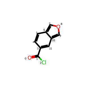 O=C(Cl)c1ccc2cocc2c1